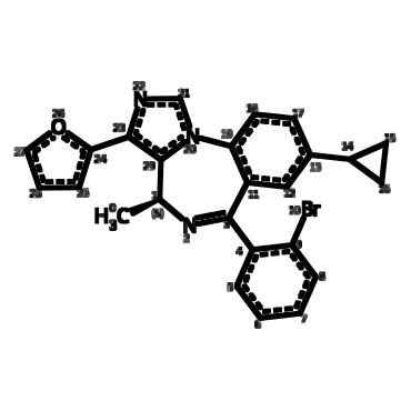 C[C@@H]1N=C(c2ccccc2Br)c2cc(C3CC3)ccc2-n2cnc(-c3ccco3)c21